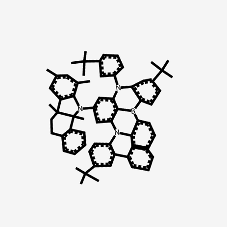 Cc1cc(C)c2c(c1)C1(C)CCc3ccccc3C1(C)N2c1cc2c3c(c1)N(c1ccc(C(C)(C)C)cc1-c1ccccc1)c1ccccc1B3c1ccc(C(C)(C)C)cc1N2c1cccc(C(C)(C)C)c1